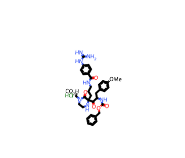 COc1ccc(CC(NC(=O)OCc2ccccc2)C(=O)C2(CCCNC(=O)c3ccc(NC(=N)N)cc3)NCCN(CC(=O)O)C2=O)cc1.Cl